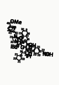 CC[C@H](C)[C@@H](C(=O)N[C@@H](Cc1ccccc1)[C@H](O)CN(C(CC1CCCC1)C(C)C)S(=O)(=O)c1ccc(C=NO)cc1)N1CCN(Cc2csc(COC)n2)C1=O